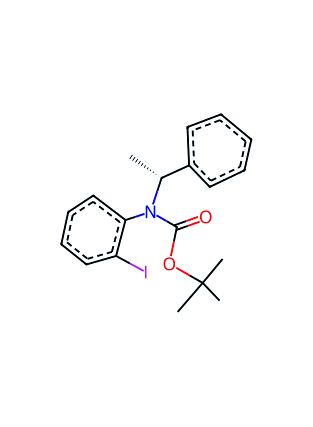 C[C@H](c1ccccc1)N(C(=O)OC(C)(C)C)c1ccccc1I